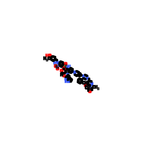 COc1cc(CN2CCN(C3CC4(CCN(c5ccc(C(=O)NS(=O)(=O)c6ccc(NCC7CCC(C)(O)CC7)c([N+](=O)[O-])c6)c(N6c7cc8cc[nH]c8nc7O[C@H]7COCC[C@@H]76)c5)CC4)C3)[C@H](c3ccccc3C)C2)cnc1N1CCOC[C@@H]1C